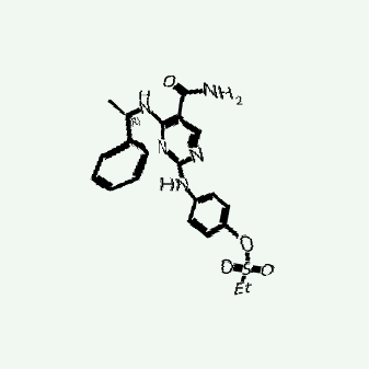 CCS(=O)(=O)Oc1ccc(Nc2ncc(C(N)=O)c(N[C@H](C)c3ccccc3)n2)cc1